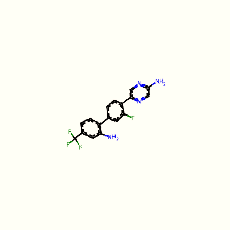 Nc1cnc(-c2ccc(-c3ccc(C(F)(F)F)cc3N)cc2F)cn1